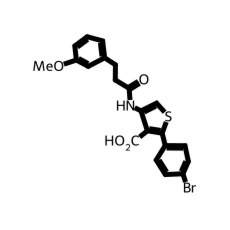 COc1cccc(CCC(=O)Nc2csc(-c3ccc(Br)cc3)c2C(=O)O)c1